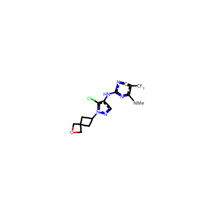 CNc1nc(Nc2cnn(C3CC4(COC4)C3)c2Cl)ncc1C(F)(F)F